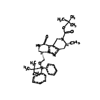 C[C@@H]1Cc2nn3c(c2CN1C(=O)OC(C)(C)C)C(=O)NC[C@H]3CO[Si](c1ccccc1)(c1ccccc1)C(C)(C)C